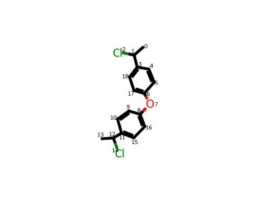 CC(Cl)c1ccc(Oc2ccc(C(C)Cl)cc2)cc1